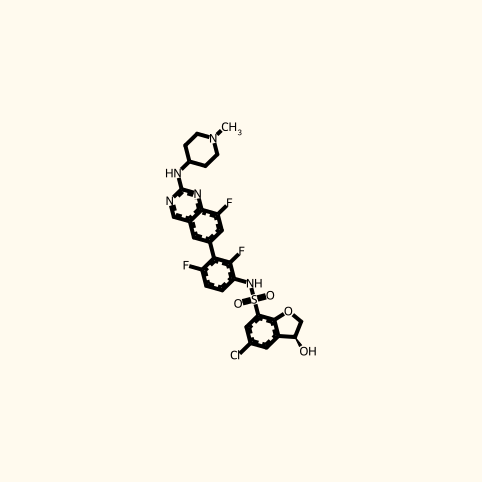 CN1CCC(Nc2ncc3cc(-c4c(F)ccc(NS(=O)(=O)c5cc(Cl)cc6c5OC[C@H]6O)c4F)cc(F)c3n2)CC1